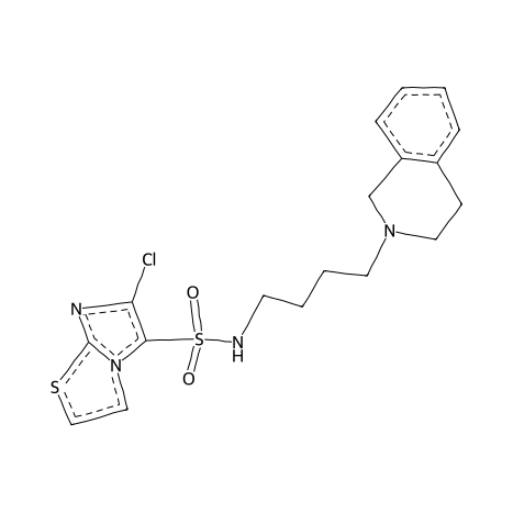 O=S(=O)(NCCCCN1CCc2ccccc2C1)c1c(Cl)nc2sccn12